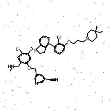 CNCc1cc(Cl)c(O[C@H]2CCc3c(-c4cccc(OCCCN5CCC(F)(F)CC5)c4Cl)cccc32)cc1OCc1cncc(C#N)c1